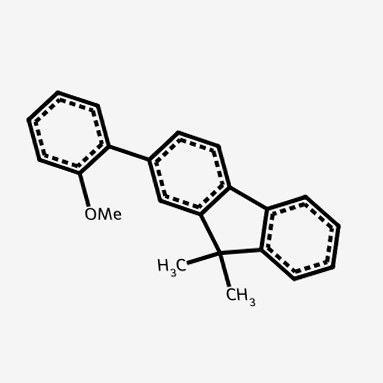 COc1ccccc1-c1ccc2c(c1)C(C)(C)c1ccccc1-2